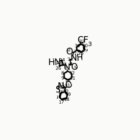 O=C(NCC(=O)N(C1CCC(Oc2nsc3ccccc23)CC1)C1CNC1)c1cccc(C(F)(F)F)c1